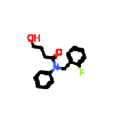 O=C(CCCO)N(Cc1ccccc1F)c1ccccc1